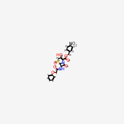 O=C(COc1ccccc1)NC1C(=O)N2C(C(=O)OCc3ccc([N+](=O)[O-])cc3)=C(O)C[S+]([O-])C12